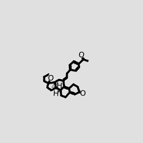 CC(=O)c1ccc(CC=C2C[C@@]3(C)[C@@H](CCC34CCCO4)[C@@H]3CCC4=CC(=O)CCC4=C23)cc1